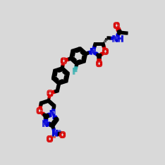 CC(=O)NC[C@H]1CN(c2ccc(Oc3ccc(CO[C@@H]4COc5nc([N+](=O)[O-])cn5C4)cc3)c(F)c2)C(=O)O1